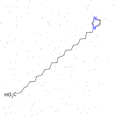 O=C(O)CCCCCCCCCCCCCCCCCCCCCn1ccnc1